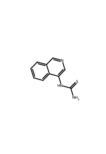 NC(=S)Nc1cncc2ccccc12